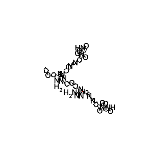 Nc1nc(-c2cccc(Oc3ccc(-c4nn(C5CC6CN(C7CN(c8ccc9c(c8)C(=O)N(C8CCC(=O)NC8=O)C9=O)C7)CC65)c5ncnc(N)c45)cc3)c2)nc2c1c(-c1ccc(Oc3ccccc3)cc1)nn2C1CCC2CN(C3CN(c4ccc5c(c4)C(=O)N(C4CCC(=O)NC4=O)C5=O)C3)CCC2C1